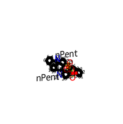 CCCCCn1c(-c2ccccc2)[c]c2c(-c3c(-c4ccccc4)n(CCCCC)c4ccc(S(=O)(=O)c5ccccc5)cc34)c(S(=O)(=O)c3ccccc3)ccc21